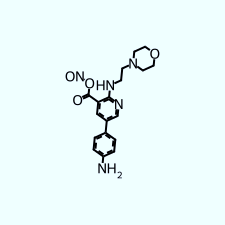 Nc1ccc(-c2cnc(NCCN3CCOCC3)c(C(=O)ON=O)c2)cc1